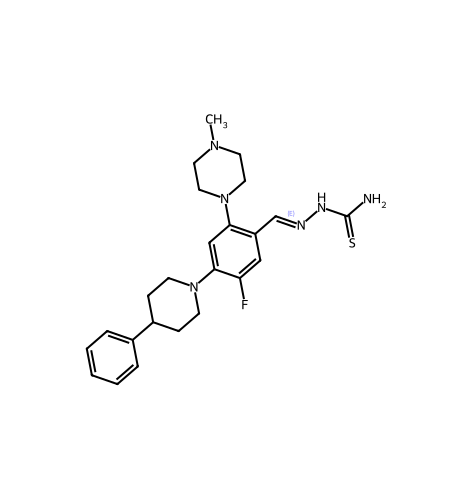 CN1CCN(c2cc(N3CCC(c4ccccc4)CC3)c(F)cc2/C=N/NC(N)=S)CC1